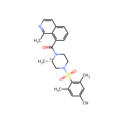 Cc1cc(C#N)cc(C)c1S(=O)(=O)N1CCN(C(=O)c2cccc3ccnc(C)c23)[C@@H](C)C1